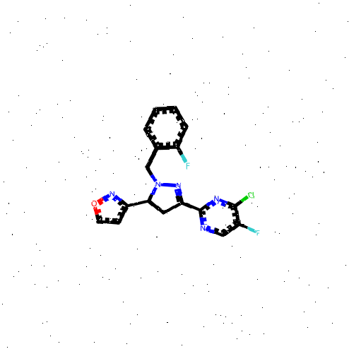 Fc1ccccc1CN1N=C(c2ncc(F)c(Cl)n2)CC1c1ccon1